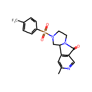 Cc1cc2c(cn1)C(=O)N1CCN(S(=O)(=O)c3ccc(C(F)(F)F)cc3)CC21